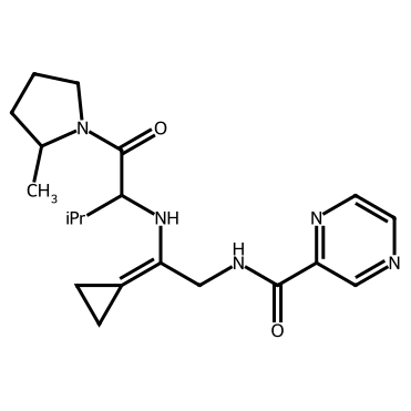 CC(C)C(NC(CNC(=O)c1cnccn1)=C1CC1)C(=O)N1CCCC1C